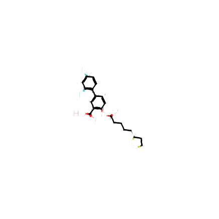 O=C(CCCC[C@H]1CCSS1)Oc1ccc(-c2ccc(F)cc2F)cc1C(=O)O